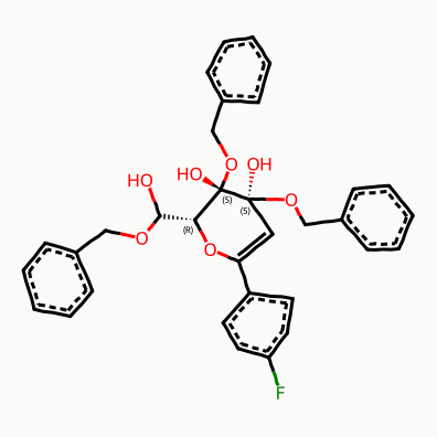 OC(OCc1ccccc1)[C@H]1OC(c2ccc(F)cc2)=C[C@](O)(OCc2ccccc2)[C@@]1(O)OCc1ccccc1